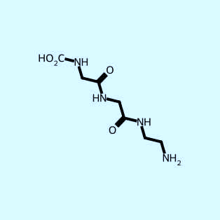 NCCNC(=O)CNC(=O)CNC(=O)O